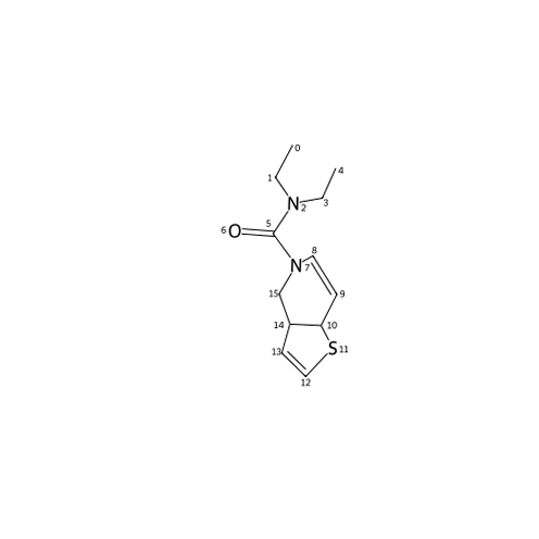 CCN(CC)C(=O)N1C=CC2SC=CC2C1